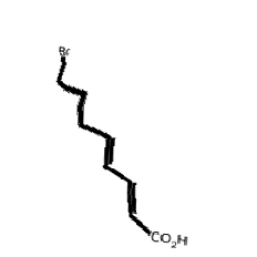 O=C(O)C=CC=CCCCBr